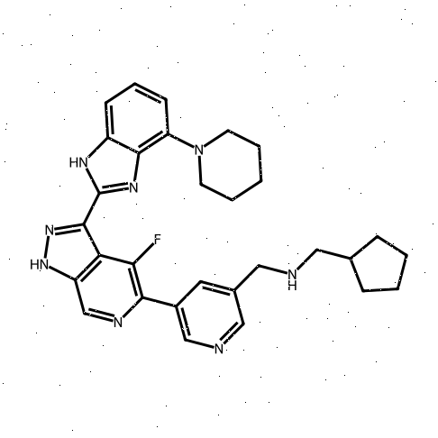 Fc1c(-c2cncc(CNCC3CCCC3)c2)ncc2[nH]nc(-c3nc4c(N5CCCCC5)cccc4[nH]3)c12